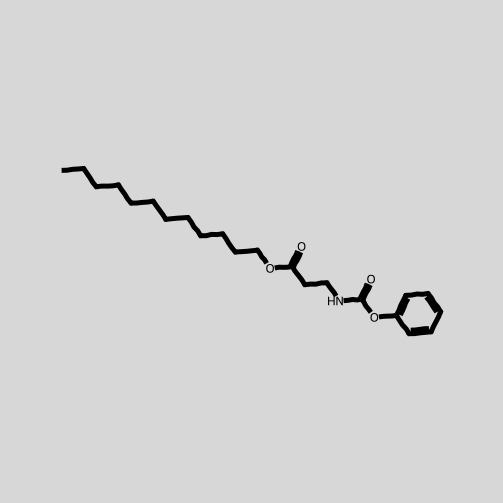 CCCCCCCCCCCCOC(=O)CCNC(=O)Oc1ccccc1